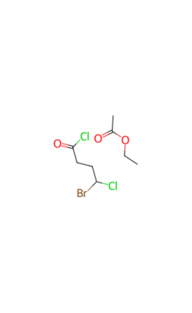 CCOC(C)=O.O=C(Cl)CCC(Cl)Br